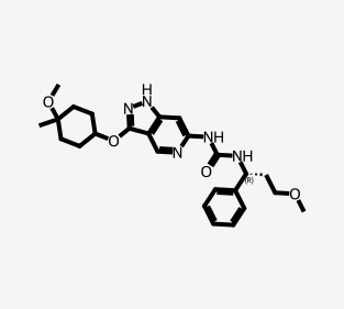 COCC[C@@H](NC(=O)Nc1cc2[nH]nc(OC3CCC(C)(OC)CC3)c2cn1)c1ccccc1